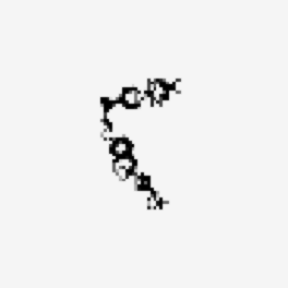 O=C(Cc1ccc(OCC[C@@H]2CC2C2CCN(c3ncc(Cl)cn3)CC2)cc1F)N1CC(CO)C1